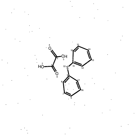 O=C(O)C(=O)O.c1ccc(Sc2ccccc2)cc1